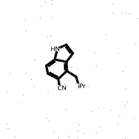 CC(C)Cc1c(C#N)ccc2[nH]ccc12